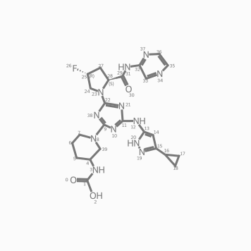 O=C(O)NC1CCCN(c2nc(Nc3cc(C4CC4)n[nH]3)nc(N3C[C@H](F)C[C@H]3C(=O)Nc3cnccn3)n2)C1